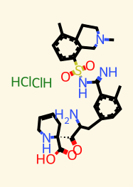 Cc1ccc(CC(N)C(=O)[C@@]2(C(=O)O)CC=CCN2)cc1C(=N)NS(=O)(=O)c1ccc(C)c2c1CN(C)CC2.Cl.Cl